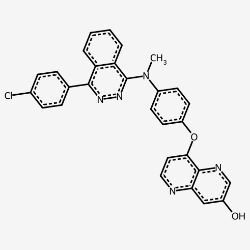 CN(c1ccc(Oc2ccnc3cc(O)cnc23)cc1)c1nnc(-c2ccc(Cl)cc2)c2ccccc12